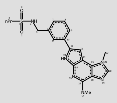 CCCS(=O)(=O)NCc1cccc(-c2cc3c(nc(NC)c4ncn(C)c43)[nH]2)c1